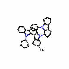 N#Cc1ccc2c3c(ccc4c5ccccc5n(-c5ccccc5)c43)n(-c3cccc4c5ccccc5n(-c5ccccc5)c34)c2c1